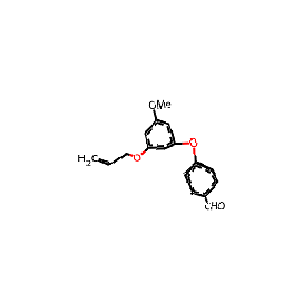 C=CCOc1cc(OC)cc(Oc2ccc(C=O)cc2)c1